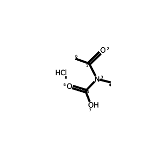 CC(=O)N(C)C(=O)O.Cl